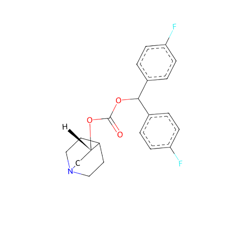 O=C(OC(c1ccc(F)cc1)c1ccc(F)cc1)O[C@H]1CN2CCC1CC2